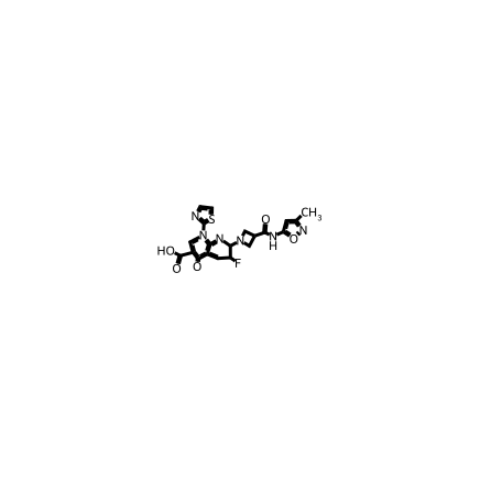 Cc1cc(NC(=O)C2CN(C3N=c4c(c(=O)c(C(=O)O)cn4-c4nccs4)=CC3F)C2)on1